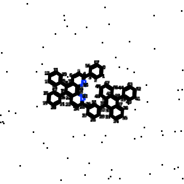 c1ccc(-c2ccc3c(-c4ccccc4)c(-c4ccccc4)c4ccc(-c5cccc(-c6c7ccccc7c(-c7ccccc7)c7ccccc67)c5)nc4c3n2)cc1